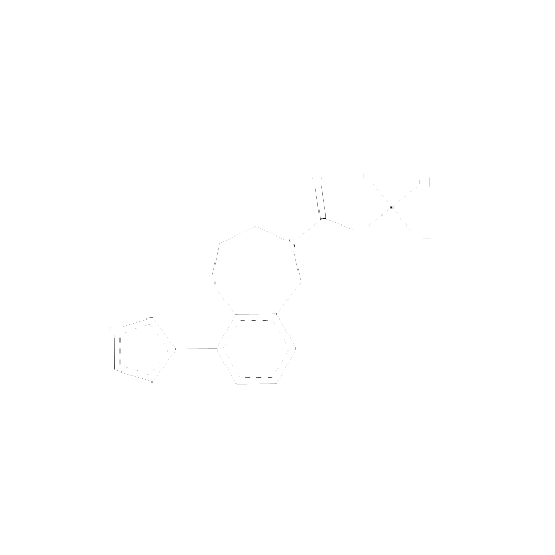 CC(C)(C)OC(=O)N1CCOc2c(cccc2-c2ccoc2)C1